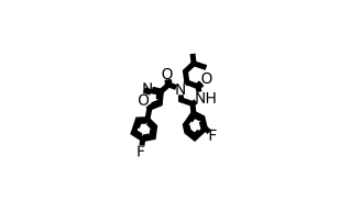 CC(C)CC1C(=O)NC(c2cccc(F)c2)CN1C(=O)c1cc(-c2ccc(F)cc2)on1